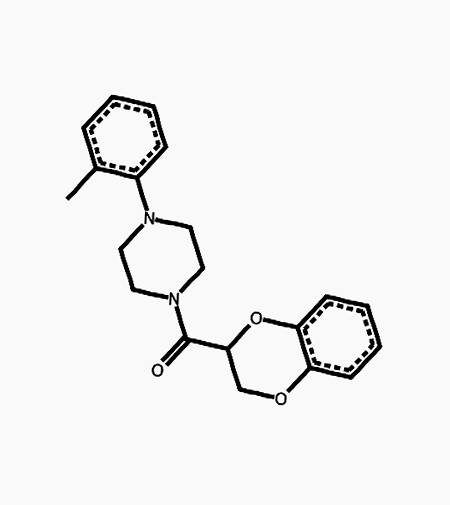 Cc1ccccc1N1CCN(C(=O)C2COc3ccccc3O2)CC1